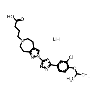 CC(C)Oc1ccc(-c2nnc(-n3cc4c(n3)CCN(CCCC(=O)O)CC4)s2)cc1Cl.[LiH]